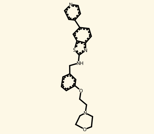 c1cc(CNc2nc3ccc(-c4ccncc4)cc3s2)cc(OCCN2CCOCC2)c1